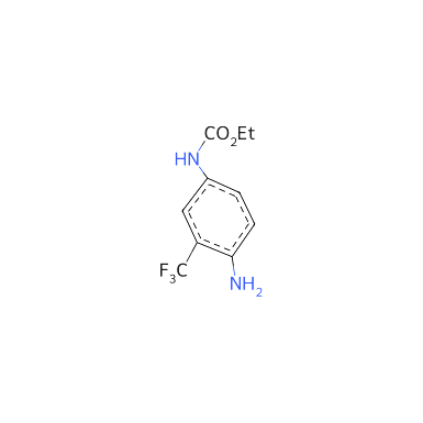 CCOC(=O)Nc1ccc(N)c(C(F)(F)F)c1